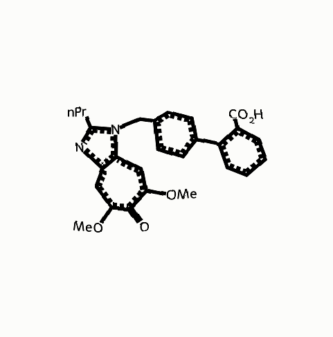 CCCc1nc2cc(OC)c(=O)c(OC)cc2n1Cc1ccc(-c2ccccc2C(=O)O)cc1